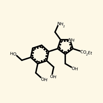 CCOC(=O)c1[nH]c(CN)c(-c2ccc(CO)c(CO)c2CO)c1CO